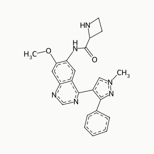 COc1cc2ncnc(-c3cn(C)nc3-c3ccccc3)c2cc1NC(=O)C1CCN1